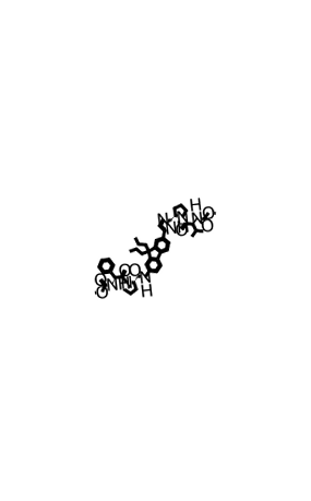 CCCC1(CCC)c2cc(NC(=O)[C@@H]3CCCN3C(=O)[C@H](NC(=O)OC)c3ccccc3)ccc2-c2ccc(-c3cnc([C@@H]4CCCN4C(=O)[C@@H](NC(=O)OC)C(C)C)[nH]3)cc21